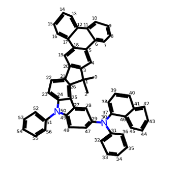 CC1(C)c2cc3c4ccccc4c4ccccc4c3cc2-c2ccc3c(c21)c1cc(N(c2ccccc2)c2cccc4ccccc24)ccc1n3-c1ccccc1